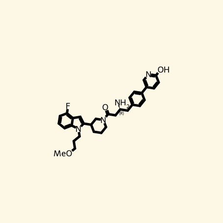 COCCCn1c(C2CCCN(C(=O)C[C@H](N)Cc3ccc(-c4ccc(O)nc4)cc3)C2)cc2c(F)cccc21